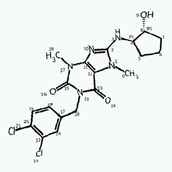 Cn1c(N[C@@H]2CCC[C@H]2O)nc2c1c(=O)n(Cc1ccc(Cl)c(Cl)c1)c(=O)n2C